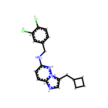 Clc1ccc(CNc2ccc3ncc(CC4CCC4)n3n2)cc1Cl